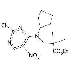 CCOC(=O)C(C)(C)CN(c1nc(Cl)ncc1[N+](=O)[O-])C1CCCC1